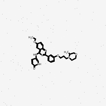 CCOc1ccc2nc(-c3cccc(OCCCN4CCOCC4C)c3)nc(Nc3ccc(=O)[nH]c3)c2c1